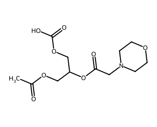 CC(=O)OCC(COC(=O)O)OC(=O)CN1CCOCC1